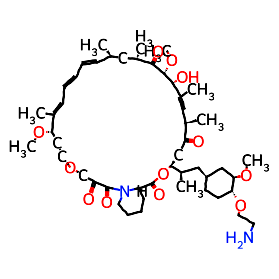 CO[C@H]1CCOCC(=O)C(=O)N2CCCC[C@H]2C(=O)O[C@H]([C@H](C)C[C@@H]2CC[C@@H](OCCN)[C@H](OC)C2)CC(=O)[C@H](C)/C=C(\C)[C@@H](O)[C@@H](OC)C(=O)[C@@H](C)C[C@H](C)/C=C/C=C/C=C/1C